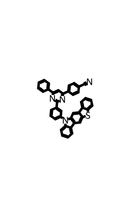 N#Cc1ccc(-c2cc(-c3ccccc3)nc(-c3cccc(-n4c5ccccc5c5cc6sc7ccccc7c6cc54)c3)n2)cc1